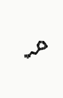 BC=Cc1ccccc1